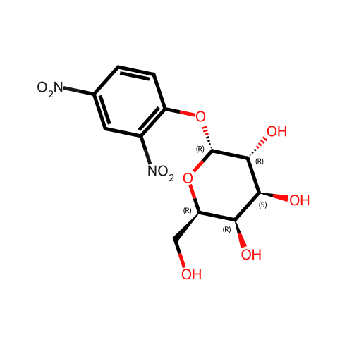 O=[N+]([O-])c1ccc(O[C@H]2O[C@H](CO)[C@H](O)[C@H](O)[C@H]2O)c([N+](=O)[O-])c1